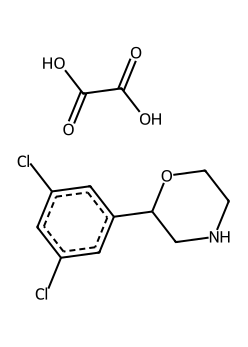 Clc1cc(Cl)cc(C2CNCCO2)c1.O=C(O)C(=O)O